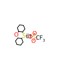 CC[S+](C1CCCCC1)C1CCCCC1=O.O=S(=O)([O-])C(F)(F)F